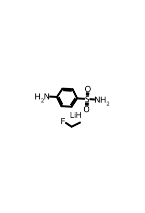 CCF.Nc1ccc(S(N)(=O)=O)cc1.[LiH]